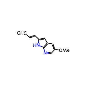 COc1cnc2[nH]c(/C=C/C=O)cc2c1